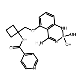 NC1=NS(O)(O)Nc2cccc(OCC3(NC(=O)c4ccncc4)CCC3)c21